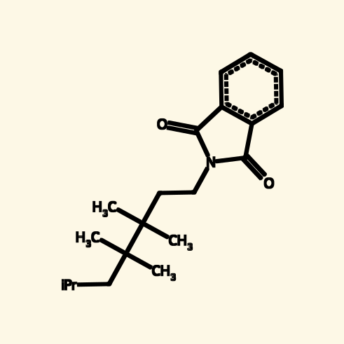 CC(C)CC(C)(C)C(C)(C)CCN1C(=O)c2ccccc2C1=O